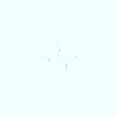 C=C/C(C)=C(\C=C)N=C